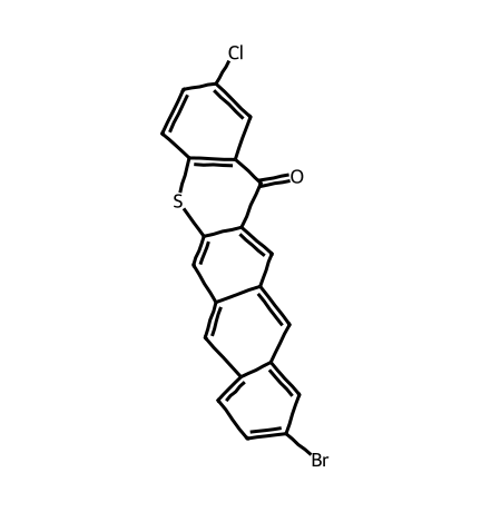 O=c1c2cc(Cl)ccc2sc2cc3cc4ccc(Br)cc4cc3cc12